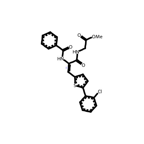 COC(=O)CNC(=O)/C(=C\c1ccc(-c2ccccc2Cl)s1)NC(=O)c1ccccc1